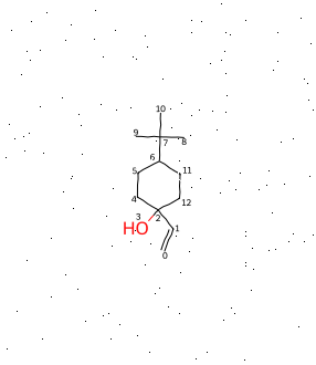 C=CC1(O)CCC(C(C)(C)C)CC1